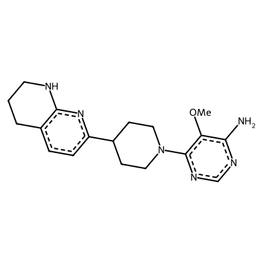 COc1c(N)ncnc1N1CCC(c2ccc3c(n2)NCCC3)CC1